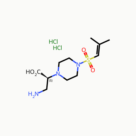 CC(C)=CS(=O)(=O)N1CCN([C@@H](CN)C(=O)O)CC1.Cl.Cl